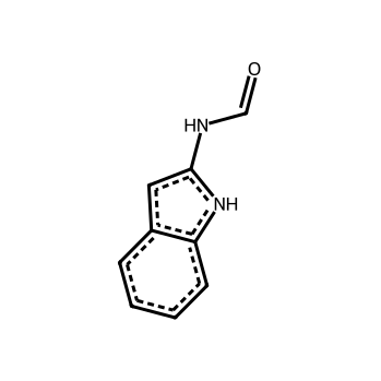 O=CNc1cc2ccccc2[nH]1